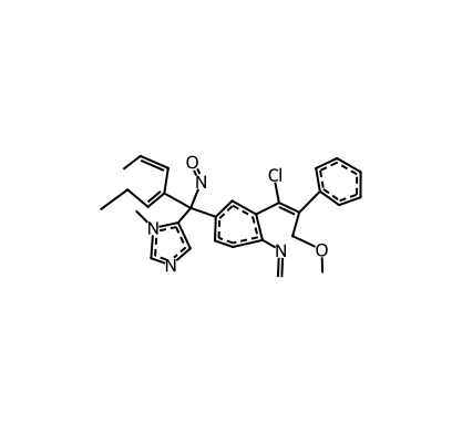 C=Nc1ccc(C(N=O)(C(/C=C\C)=C/CC)c2cncn2C)cc1/C(Cl)=C(\COC)c1ccccc1